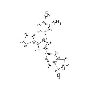 Cc1nc(N2N=C(c3ccc4c(c3)CNC4=O)CC2C2CCCC2)ccc1C#N